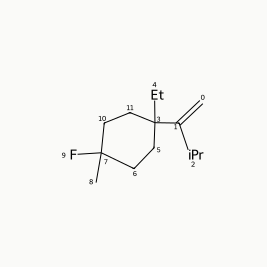 C=C(C(C)C)C1(CC)CCC(C)(F)CC1